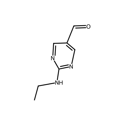 CCNc1ncc(C=O)cn1